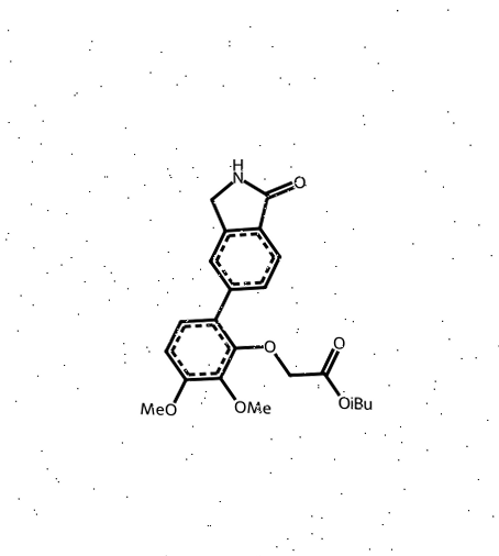 COc1ccc(-c2ccc3c(c2)CNC3=O)c(OCC(=O)OCC(C)C)c1OC